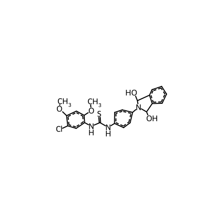 COc1cc(OC)c(NC(=S)Nc2ccc(N3C(O)c4ccccc4C3O)cc2)cc1Cl